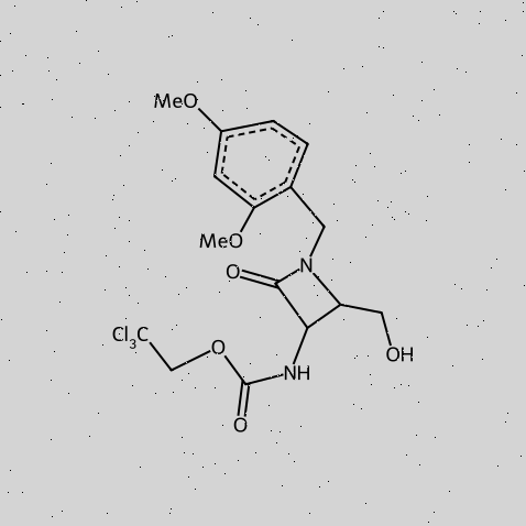 COc1ccc(CN2C(=O)C(NC(=O)OCC(Cl)(Cl)Cl)C2CO)c(OC)c1